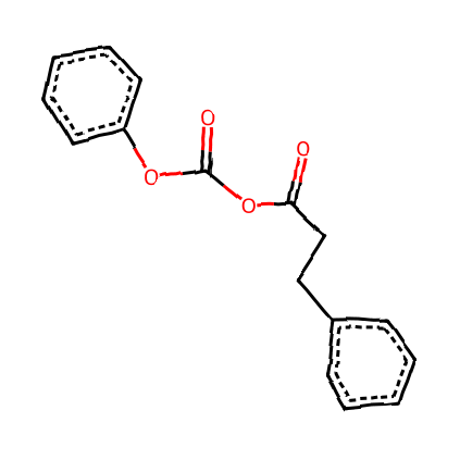 O=C(CCc1ccccc1)OC(=O)Oc1ccccc1